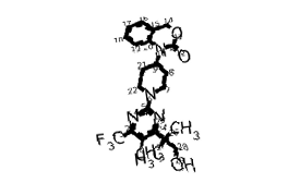 Cc1c(C(F)(F)F)nc(N2CCC(N3C(=O)OCc4ccccc43)CC2)nc1C(C)(C)CO